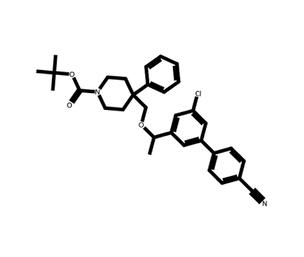 CC(OCC1(c2ccccc2)CCN(C(=O)OC(C)(C)C)CC1)c1cc(Cl)cc(-c2ccc(C#N)cc2)c1